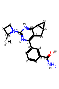 C[C@H]1CCN1c1nc(-c2cccc(C(N)=O)c2)c2c(n1)C1CC1C2